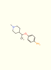 CN1CCC(C(Oc2ccc(P)cc2)C(F)(F)F)CC1